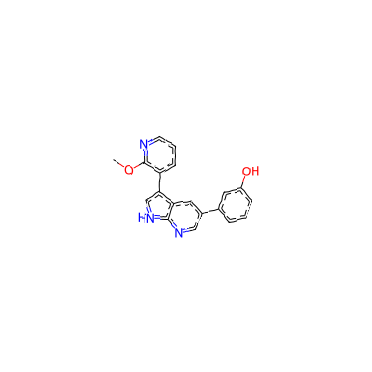 COc1ncccc1-c1c[nH]c2ncc(-c3cccc(O)c3)cc12